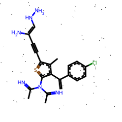 C=C(c1ccc(Cl)cc1)c1c(N(C(C)=N)C(C)=N)sc(C#C/C(N)=C/NN)c1C